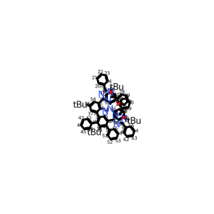 CC(C)(C)c1ccc(N(c2ccc(C(C)(C)C)cc2)n2c3c(-c4nc(-c5ccccc5)nc(-c5ccccc5)n4)cc(C(C)(C)C)cc3c3c(-c4ccccc4)c(C(C)(C)C)c(-c4ccccc4)c(-c4nc(-c5ccccc5)nc(-c5ccccc5)n4)c32)cc1